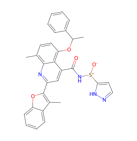 Cc1c(-c2cc(C(=O)N[S+]([O-])c3ccn[nH]3)c3c(OC(C)c4ccccc4)ccc(C)c3n2)oc2ccccc12